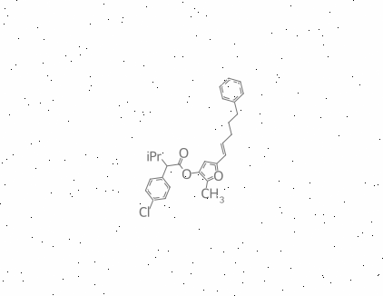 Cc1oc(C=CCCCc2ccccc2)cc1OC(=O)C(c1ccc(Cl)cc1)C(C)C